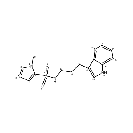 Cn1cncc1S(=O)(=O)NCCCc1c[nH]c2nccnc12